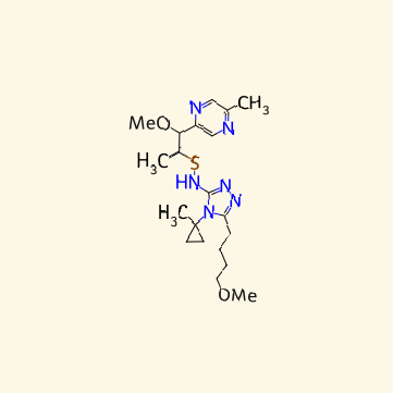 COCCCCc1nnc(NSC(C)C(OC)c2cnc(C)cn2)n1C1(C)CC1